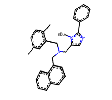 CCCCn1c(CN(Cc2cc(C)ccc2C)Cc2cccc3ccccc23)cnc1-c1ccccc1